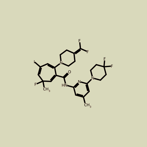 Cc1cc(NC(=O)C2=CC(C)(F)C=C(I)C=C2N2CCC(=C(F)F)CC2)nc(N2CCC(F)(F)CC2)c1